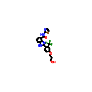 O=C(Nc1nccs1)c1cccc2[nH]c(-c3ccc(OCCCO)cc3C(F)(F)F)nc12